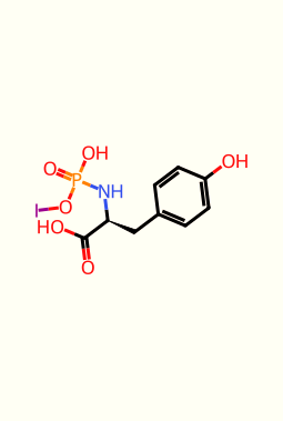 O=C(O)[C@H](Cc1ccc(O)cc1)NP(=O)(O)OI